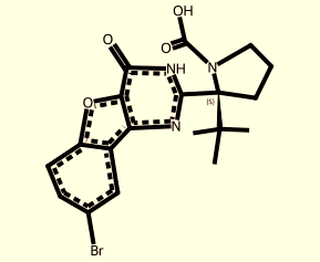 CC(C)(C)[C@]1(c2nc3c(oc4ccc(Br)cc43)c(=O)[nH]2)CCCN1C(=O)O